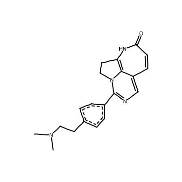 CN(C)CCc1ccc(C2=NC=C3C=CC(=O)NC4=C3N2CC4)cc1